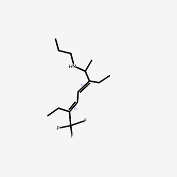 CCCNC(C)/C(=C/C=C(\CC)C(F)(F)F)CC